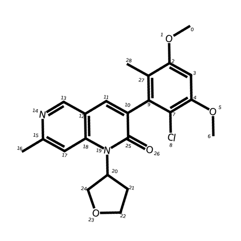 COc1cc(OC)c(Cl)c(-c2cc3cnc(C)cc3n(C3CCOC3)c2=O)c1C